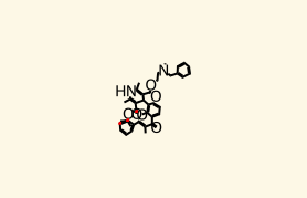 CC1=C(C(=O)OCCN(C)Cc2ccccc2)C(c2cccc3c(=O)c(C)c(-c4ccccc4)oc23)C(C(=O)OC(C)C)=C(C)N1